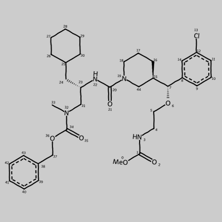 COC(=O)NCCO[C@@H](c1cccc(Cl)c1)[C@@H]1CCCN(C(=O)N[C@@H](CC2CCCCC2)CN(C)C(=O)OCc2ccccc2)C1